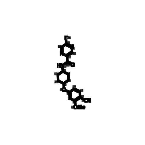 COc1cc(OC2CCC(NC(=O)c3cnc(F)cn3)CC2)ccc1C#N